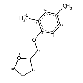 Cc1ccc(OCC2CCCO2)c(C)c1